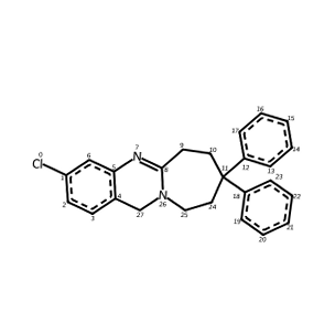 Clc1ccc2c(c1)N=C1CCC(c3ccccc3)(c3ccccc3)CCN1C2